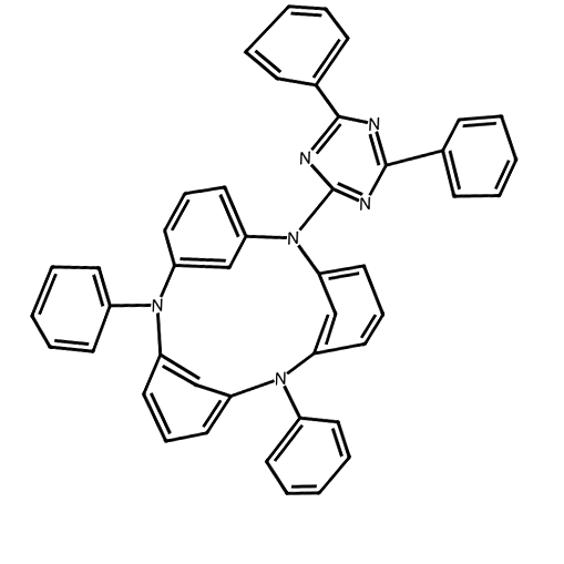 c1ccc(-c2nc(-c3ccccc3)nc(N3c4cccc(c4)N(c4ccccc4)c4cccc(c4)N(c4ccccc4)c4cccc3c4)n2)cc1